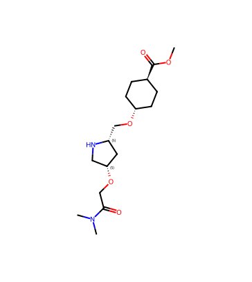 COC(=O)[C@H]1CC[C@H](OC[C@@H]2C[C@H](OCC(=O)N(C)C)CN2)CC1